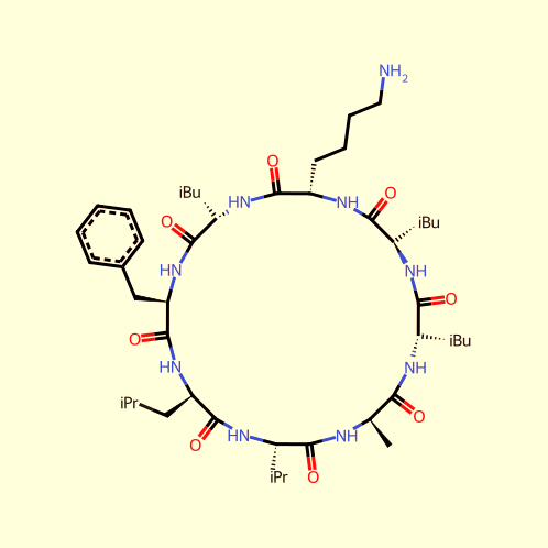 CC[C@@H](C)[C@H]1NC(=O)[C@H]([C@@H](C)CC)NC(=O)[C@@H](C)NC(=O)[C@H](C(C)C)NC(=O)[C@@H](CC(C)C)NC(=O)[C@@H](Cc2ccccc2)NC(=O)[C@H]([C@@H](C)CC)NC(=O)[C@H](CCCCN)NC1=O